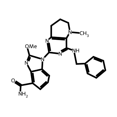 COc1nc2c(C(N)=O)cccc2n1-c1nc2c(c(NCc3ccccc3)n1)N(C)CCC2